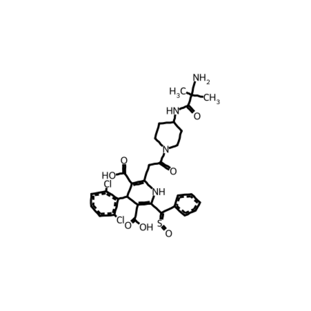 CC(C)(N)C(=O)NC1CCN(C(=O)CC2=C(C(=O)O)C(c3c(Cl)cccc3Cl)C(C(=O)O)=C(C(=S=O)c3ccccc3)N2)CC1